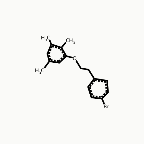 Cc1cc(C)c(C)c(OCCc2ccc(Br)cc2)c1